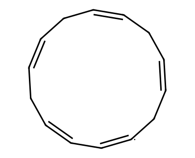 [C]1=CC=CCC=CCC=CCC=CC1